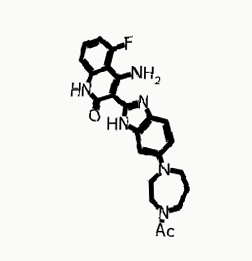 CC(=O)N1CCCN(c2ccc3nc(-c4c(N)c5c(F)cccc5[nH]c4=O)[nH]c3c2)CC1